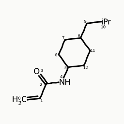 C=CC(=O)NC1CCC(CC(C)C)CC1